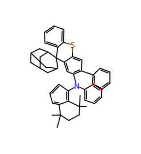 CC1(C)CCC(C)(C)c2c(N(c3ccccc3)c3cc4c(cc3-c3ccccc3)Sc3ccccc3C43C4CC5CC(C4)CC3C5)cccc21